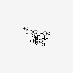 COc1ccc(CC[C@@H](OC(=O)[C@@H]2CCCCN2S(=O)(=O)c2cc(Cl)c(OC)c(Cl)c2)c2cccc(OCC(=O)O)c2)cc1OC